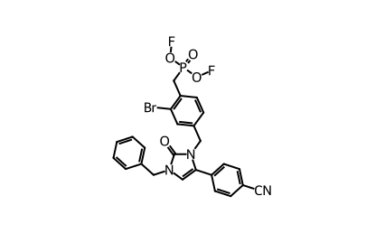 N#Cc1ccc(-c2cn(Cc3ccccc3)c(=O)n2Cc2ccc(CP(=O)(OF)OF)c(Br)c2)cc1